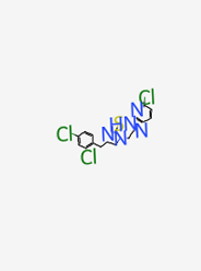 CSC1=NC(Cc2ccc(Cl)cc2Cl)CN1Cc1nc2ccc(Cl)nc2[nH]1